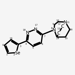 c1c[se]c(-c2ccc(N3CCN4CCC3CC4)nn2)c1